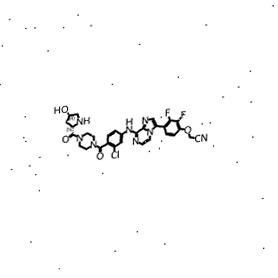 N#CCOc1ccc(-c2cnc3c(Nc4ccc(C(=O)N5CCN(C(=O)[C@@H]6C[C@@H](O)CN6)CC5)c(Cl)c4)nccn23)c(F)c1F